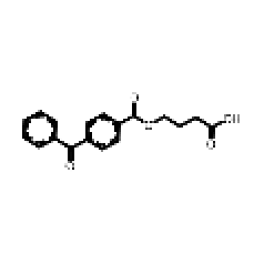 O=C(O)CCCOC(=O)c1ccc(C(=O)c2ccccc2)cc1